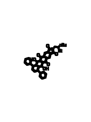 CCCCC(CC)Cn1c(=O)c2cc3c(=O)c4c(O)c5c(-c6ccccc6)ccc(-c6ccccc6)c5c(O)c4c(=O)c3cc2c1=O